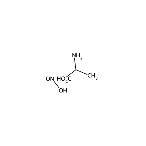 CC(N)C(=O)O.O=NO